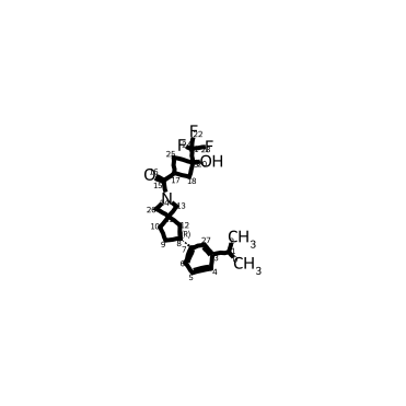 CC(C)c1cccc([C@@H]2CCC3(C2)CN(C(=O)C2CC(O)(C(F)(F)F)C2)C3)c1